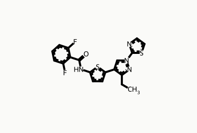 CCc1nn(-c2nccs2)cc1-c1ccc(NC(=O)c2c(F)cccc2F)s1